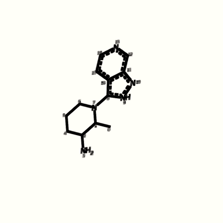 CC1C(N)CCCN1c1[nH]nc2cnccc12